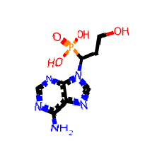 Nc1ncnc2c1ncn2[C](CCO)P(=O)(O)O